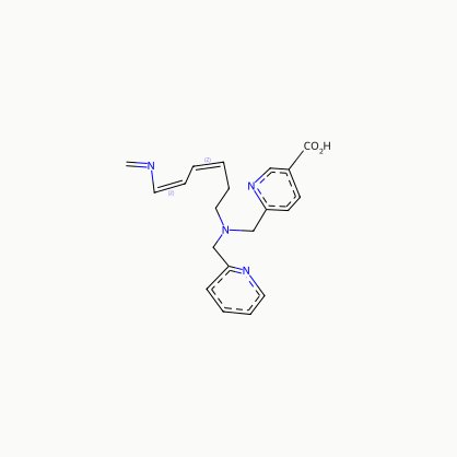 C=N/C=C\C=C/CCN(Cc1ccccn1)Cc1ccc(C(=O)O)cn1